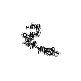 CCC(C)(CC(C)(C)C(=O)NCC(=O)NC(Cc1ccccc1)C(=O)NC(CC(C)C)C(=O)NCC(=O)NCCNCC(=O)NC(=O)OC1CC[C@]2(CO2)[C@@H]([C@]2(C)OC2CC=C(C)C)[C@@H]1OC)C(=O)NCC(C)O